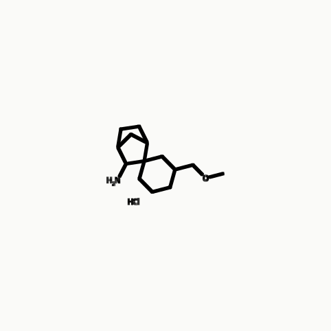 COCC1CCCC2(C1)C1CCC(C1)C2N.Cl